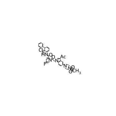 CC(=O)c1cn(CC(=O)N2C[C@H](F)C[C@H]2C(=O)NC2=CC=CC(c3ccccc3)C2(F)Cl)c2ccc(N3CCN(S(C)(=O)=O)CC3)cc12